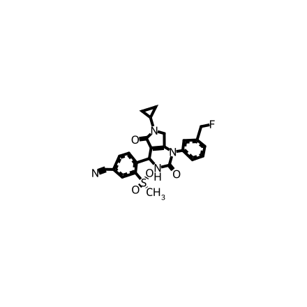 CS(=O)(=O)c1cc(C#N)ccc1C1NC(=O)N(c2cccc(CF)c2)C2=C1C(=O)N(C1CC1)C2